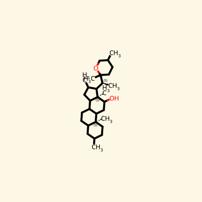 CC1CCC(C)([C@@H](C)C2C(C)CC3C4CCC5CC(C)CC[C@]5(C)C4CC(O)[C@@]32C)OC1